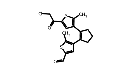 Cc1sc(C=O)cc1C1=C(c2cc(C(=O)CCl)sc2C)CCC1